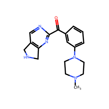 CN1CCN(c2cccc(C(=O)c3ncc4c(n3)CNC4)c2)CC1